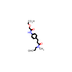 CN(CCC=O)C(=O)CCc1ccc(NC(=O)COCC(=O)O)cc1